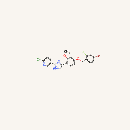 COc1cc(OCc2ccc(Br)cc2F)ccc1-c1c[nH]c(-c2ccc(Cl)nc2)n1